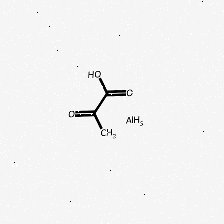 CC(=O)C(=O)O.[AlH3]